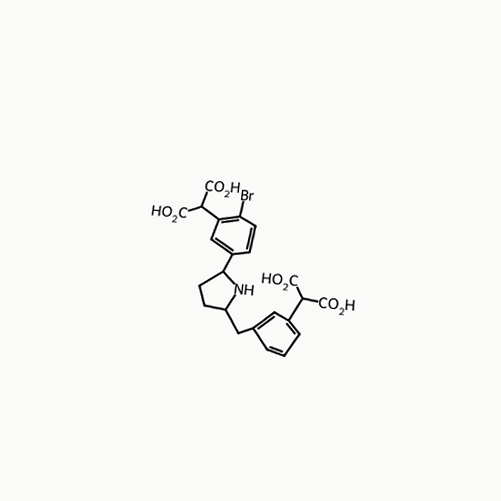 O=C(O)C(C(=O)O)c1cccc(CC2CCC(c3ccc(Br)c(C(C(=O)O)C(=O)O)c3)N2)c1